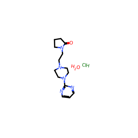 Cl.O.O=C1CCCN1CCN1CCN(c2ncccn2)CC1